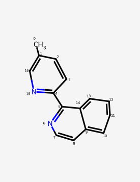 Cc1ccc(-c2nccc3ccccc23)nc1